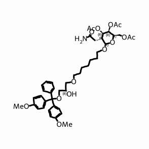 COc1ccc(C(OC[C@H](O)COCCCCCCCO[C@@H]2O[C@H](COC(C)=O)[C@H](OC(C)=O)[C@H](OC(C)=O)[C@H]2CC(N)=O)(c2ccccc2)c2ccc(OC)cc2)cc1